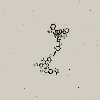 Cc1ncsc1-c1ccc([C@H](C)NC(=O)[C@@H]2C[C@@H](O)CN2C(=O)[C@@H](c2cc(OCC#Cc3ccc(OC4CC(Oc5cc(N6C7CC[C@@H]6CN(c6cc(-c8ccccc8O)nnc6N)C7)ccn5)C4)cn3)no2)C(C)C)cc1